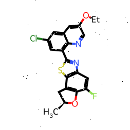 CCOc1cnc2c(-c3nc4cc(F)c5c(c4s3)C[C@H](C)O5)cc(Cl)cc2c1